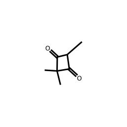 CC1C(=O)C(C)(C)C1=O